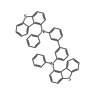 c1ccc(N(c2cccc(-c3cccc(N(c4ccccc4)c4cccc5sc6ccccc6c45)c3)c2)c2cccc3sc4ccccc4c23)cc1